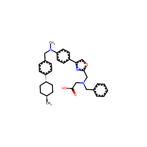 CN(Cc1ccc([C@H]2CC[C@H](C)CC2)cc1)c1ccc(-c2csc(CN(CC(=O)O)Cc3ccccc3)n2)cc1